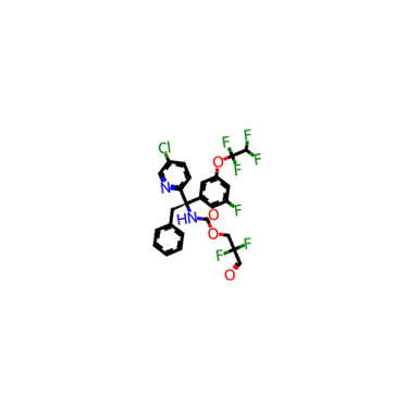 O=CC(F)(F)COC(=O)N[C@@](Cc1ccccc1)(c1cc(F)cc(OC(F)(F)C(F)F)c1)c1ccc(Cl)cn1